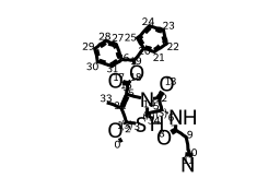 CO[C@H]1S[C@@H]2[C@@H](NC(=O)CC#N)C(=O)N2C(C(=O)OC(c2ccccc2)c2ccccc2)=C1C